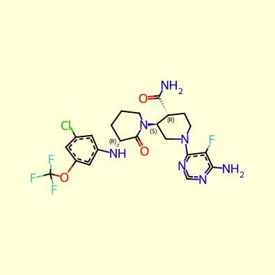 NC(=O)[C@@H]1CCN(c2ncnc(N)c2F)C[C@H]1N1CCC[C@@H](Nc2cc(Cl)cc(OC(F)(F)F)c2)C1=O